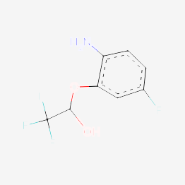 Nc1ccc(F)cc1OC(O)C(F)(F)F